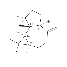 C=C1CC[C@@H]2[C@H]([C@@H]3[C@H](C)CC[C@@H]13)C2(C)C